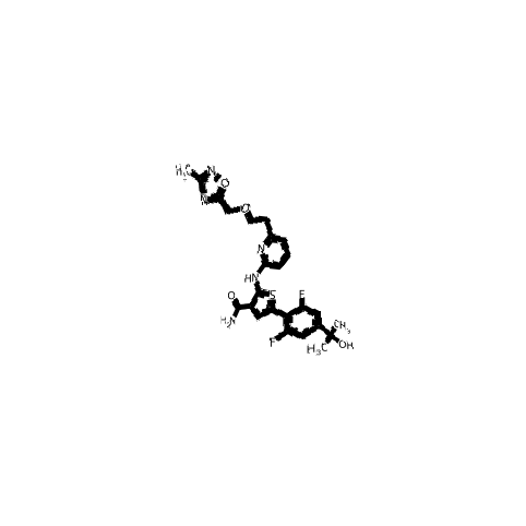 Cc1noc(COCCc2cccc(Nc3sc(-c4c(F)cc(C(C)(C)O)cc4F)cc3C(N)=O)n2)n1